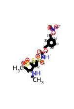 CCN[C@H]1CC(C)S(=O)(=O)c2sc(S(=O)(=O)NC(=O)OCc3cccc(CO[N+](=O)[O-])c3)cc21